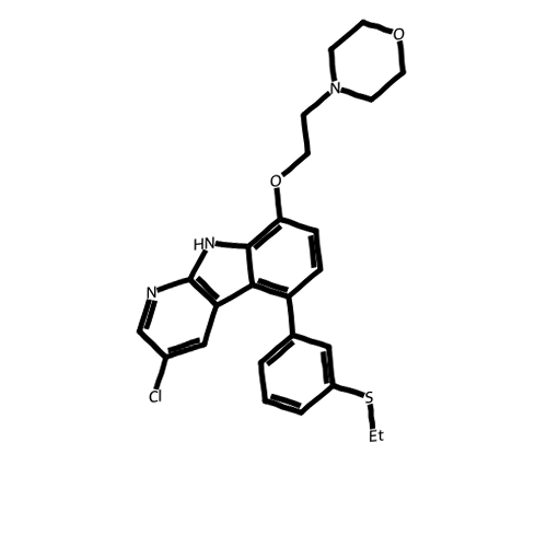 CCSc1cccc(-c2ccc(OCCN3CCOCC3)c3[nH]c4ncc(Cl)cc4c23)c1